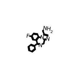 NCc1cnc2n1-c1ccc(F)cc1C(c1ccccc1)=NC2